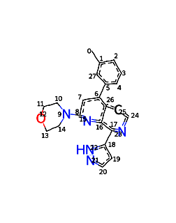 Cc1cccc(-c2cc(N3CCOCC3)nc3c(-c4ccn[nH]4)nccc23)c1